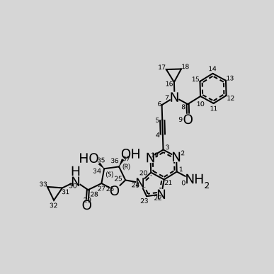 Nc1nc(C#CCN(C(=O)c2ccccc2)C2CC2)nc2c1ncn2C1OC(C(=O)NC2CC2)[C@@H](O)[C@H]1O